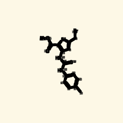 COC(=O)c1sc(CBr)cc1NC(=O)Nc1ccc(C)cc1